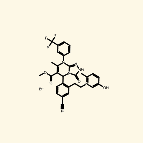 COC(=O)C1=C(C)N(c2cccc(C(F)(F)F)c2)c2n[nH]c(=O)n2C1c1ccc(C#N)cc1CC[n+]1cc(O)ccc1C.[Br-]